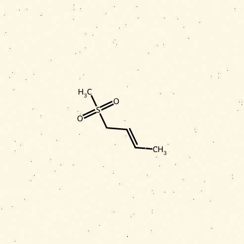 CC=CCS(C)(=O)=O